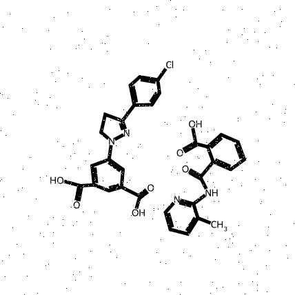 Cc1cccnc1NC(=O)c1ccccc1C(=O)O.O=C(O)c1cc(C(=O)O)cc(N2CCC(c3ccc(Cl)cc3)=N2)c1